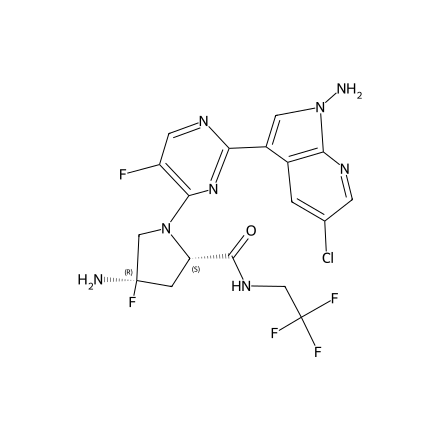 Nn1cc(-c2ncc(F)c(N3C[C@](N)(F)C[C@H]3C(=O)NCC(F)(F)F)n2)c2cc(Cl)cnc21